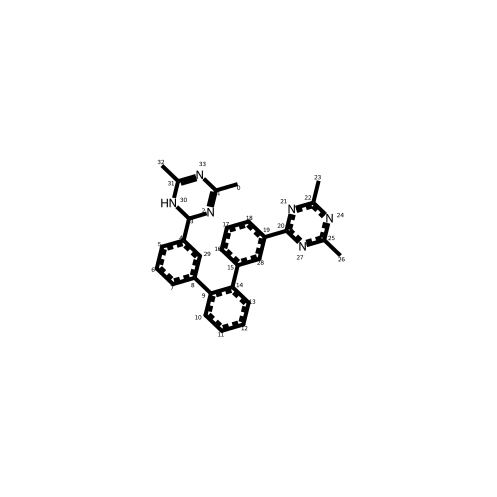 CC1=NC(c2cccc(-c3ccccc3-c3cccc(-c4nc(C)nc(C)n4)c3)c2)NC(C)=N1